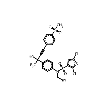 CC(C)CN(c1ccc(C(O)(C#Cc2ccc(S(C)(=O)=O)cc2)C(F)(F)F)cc1)S(=O)(=O)c1cc(Cl)sc1Cl